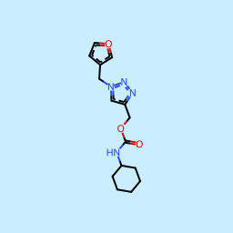 O=C(NC1CCCCC1)OCc1cn(Cc2ccoc2)nn1